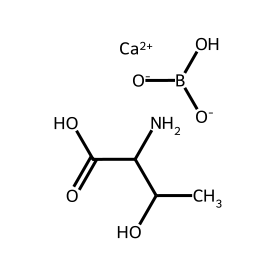 CC(O)C(N)C(=O)O.[Ca+2].[O-]B([O-])O